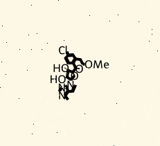 COC1Cc2cc(Cl)ccc2[C@H]([C@H]2OC(n3ccc4c(C)ncnc43)[C@H](O)[C@@H]2O)O1